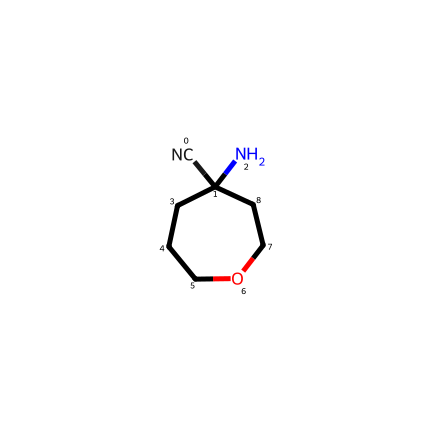 N#CC1(N)CCCOCC1